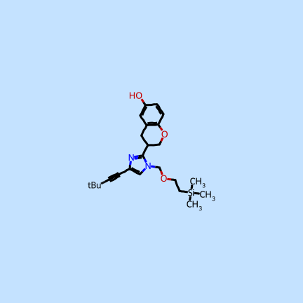 CC(C)(C)C#Cc1cn(COCC[Si](C)(C)C)c(C2COc3ccc(O)cc3C2)n1